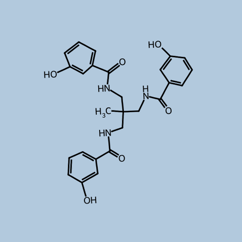 CC(CNC(=O)c1cccc(O)c1)(CNC(=O)c1cccc(O)c1)CNC(=O)c1cccc(O)c1